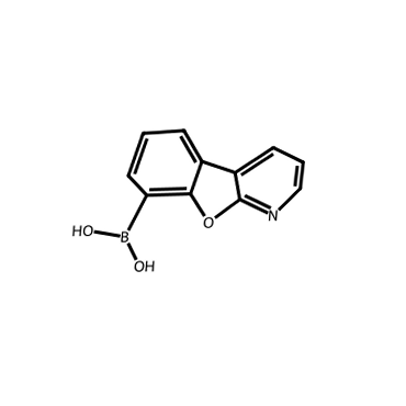 OB(O)c1cccc2c1oc1ncccc12